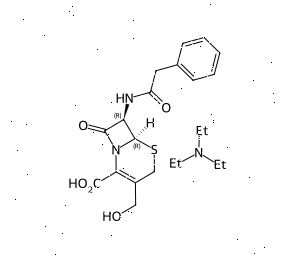 CCN(CC)CC.O=C(Cc1ccccc1)N[C@@H]1C(=O)N2C(C(=O)O)=C(CO)CS[C@H]12